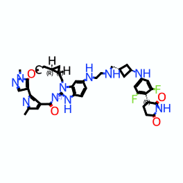 Cc1cc2cc(n1)-c1cnn(C)c1OCC[C@H]1C[C@@H]1CN1/C(=N/C2=O)Nc2ccc(NCCNC[C@H]3C[C@H](Nc4cc(F)c([C@H]5CCC(=O)NC5=O)c(F)c4)C3)cc21